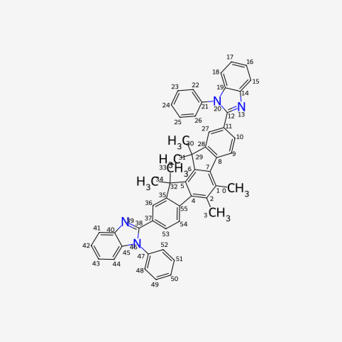 Cc1c(C)c2c(c3c1-c1ccc(-c4nc5ccccc5n4-c4ccccc4)cc1C3(C)C)C(C)(C)c1cc(-c3nc4ccccc4n3-c3ccccc3)ccc1-2